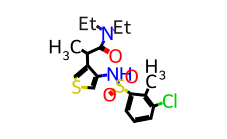 CCN(CC)C(=O)C(C)c1cscc1NS(=O)(=O)c1cccc(Cl)c1C